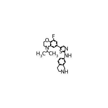 CC(C)N1CCOc2c(F)cc(-c3cnc(Nc4ccc5c(c4)CNCC5)s3)cc21